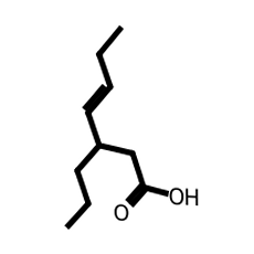 CC/C=C/C(CCC)CC(=O)O